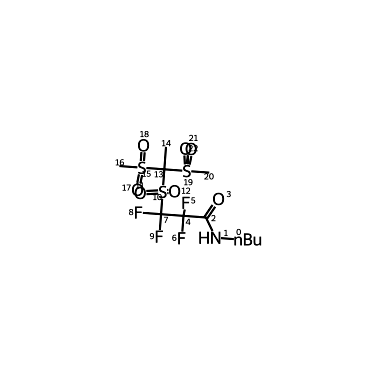 CCCCNC(=O)C(F)(F)C(F)(F)S(=O)(=O)C(C)(S(C)(=O)=O)S(C)(=O)=O